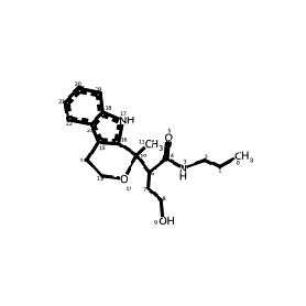 CCCNC(=O)C(CCO)C1(C)OCCc2c1[nH]c1ccccc21